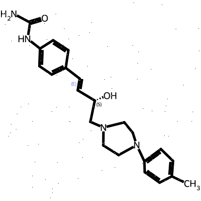 Cc1ccc(N2CCN(C[C@@H](O)/C=C/c3ccc(NC(N)=O)cc3)CC2)cc1